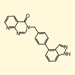 O=c1c2cccnc2ncn1Cc1ccc(-c2cccc3[nH]ncc23)cc1